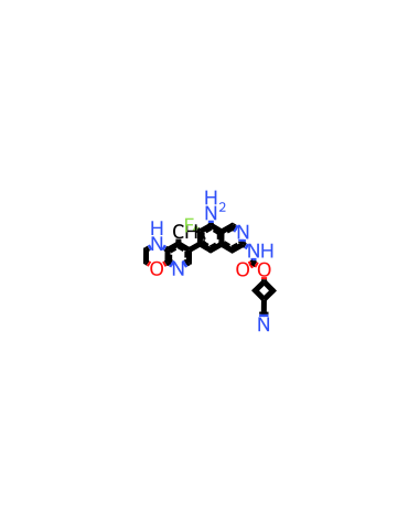 Cc1c(-c2cc3cc(NC(=O)OC4CC(C#N)C4)ncc3c(N)c2F)cnc2c1NCCO2